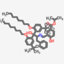 CCCCCCCCOc1ccc(C(C)(C)C)cc1C(O)(c1cc(C(C)(C)C)ccc1OCCCCCCCC)C(Cc1ccccc1)N=Cc1cc(C(=O)OC(C)C)ccc1O